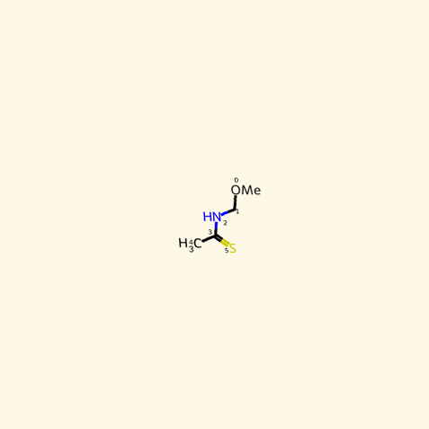 COCNC(C)=S